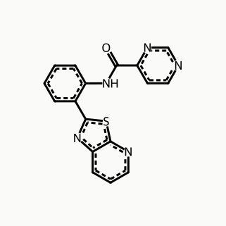 O=C(Nc1ccccc1-c1nc2cccnc2s1)c1ccncn1